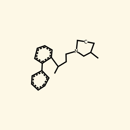 CC1CCCN(CCC(C)c2ccccc2-c2ccccc2)C1